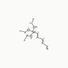 C=C/C=C/C=C/[Si](OCC)(OCC)OCC